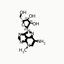 CN1C=C(N)c2nn([C@@H]3O[C@H](CO)[C@@H](O)[C@H]3O)c3ncnc1c23